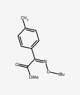 COC(=O)C(=NOC(C)(C)C)c1ccc(C)cc1